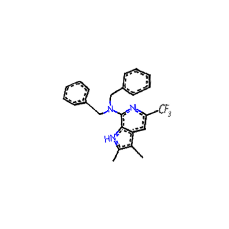 Cc1[nH]c2c(N(Cc3ccccc3)Cc3ccccc3)nc(C(F)(F)F)cc2c1C